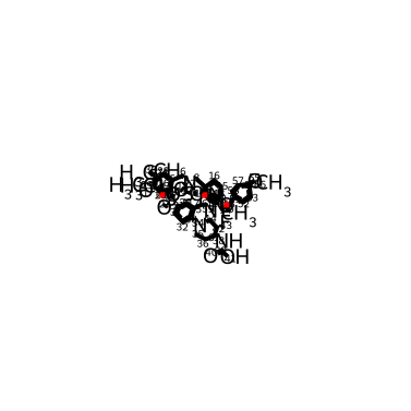 COc1ccc(CN(Cc2ccc(OC)cc2)S(=O)(=O)c2c(S(=O)(=O)CC[Si](C)(C)C)ccc(N3CC[C@H](NC(=O)O)[C@H](F)C3)c2-c2nnn(Cc3ccc(OC)cc3)n2)cc1